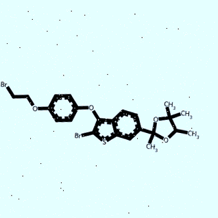 CC1OC(C)(c2ccc3c(Oc4ccc(OCCBr)cc4)c(Br)sc3c2)OC1(C)C